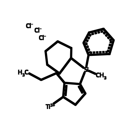 CCCC1=[C]([Ti+3])CC=C1[Si](C)(c1ccccc1)C1CCCCC1.[Cl-].[Cl-].[Cl-]